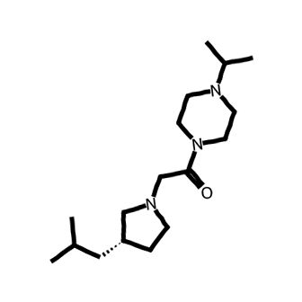 CC(C)C[C@H]1CCN(CC(=O)N2CCN(C(C)C)CC2)C1